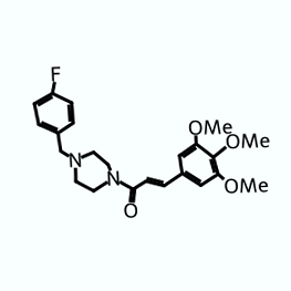 COc1cc(/C=C/C(=O)N2CCN(Cc3ccc(F)cc3)CC2)cc(OC)c1OC